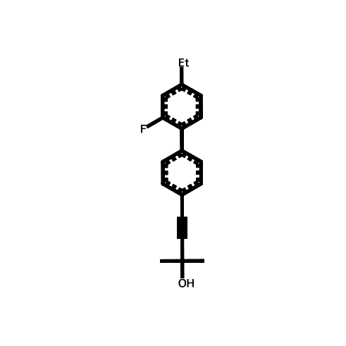 CCc1ccc(-c2ccc(C#CC(C)(C)O)cc2)c(F)c1